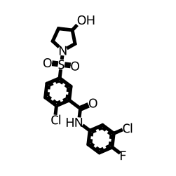 O=C(Nc1ccc(F)c(Cl)c1)c1cc(S(=O)(=O)N2CCC(O)C2)ccc1Cl